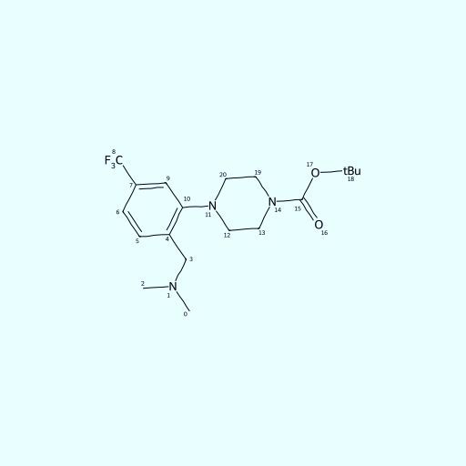 CN(C)Cc1ccc(C(F)(F)F)cc1N1CCN(C(=O)OC(C)(C)C)CC1